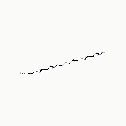 CC/C=C/C/C=C/C/C=C/CCCC/C=C/C/C=C/CCC(=O)O